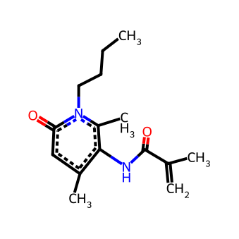 C=C(C)C(=O)Nc1c(C)cc(=O)n(CCCC)c1C